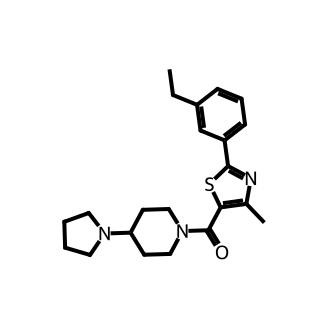 CCc1cccc(-c2nc(C)c(C(=O)N3CCC(N4CCCC4)CC3)s2)c1